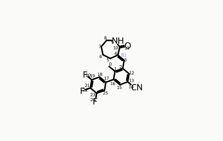 Cc1c(/C=C2\CCCCNC2=O)cc(C#N)cc1-c1cc(F)c(F)c(F)c1